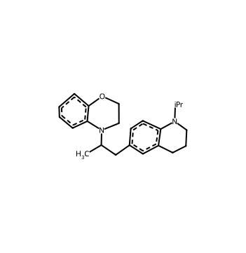 CC(C)N1CCCc2cc(CC(C)N3CCOc4ccccc43)ccc21